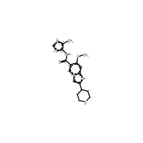 COc1cc2nc(C3CCOCC3)cn2cc1C(=O)Nc1scnc1C